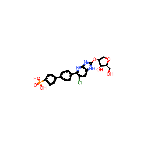 O=P(O)(O)c1ccc(-c2ccc(-c3nc4nc(O[C@@H]5CO[C@@H](CO)[C@@H]5O)[nH]c4cc3Cl)cc2)cc1